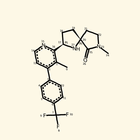 Cc1c(-c2ccc(C(F)(F)F)cc2)ccnc1[C@H]1CC[C@]2(CCN(C)C2=O)N1